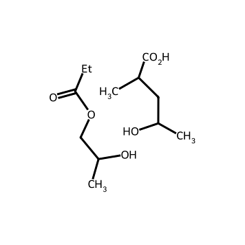 CC(O)CC(C)C(=O)O.CCC(=O)OCC(C)O